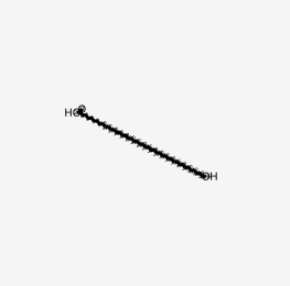 O=C(O)CCCCCCCCCCCCCCCCCCCCCCCCCCCCCCCCCCCCCCCCCCCO